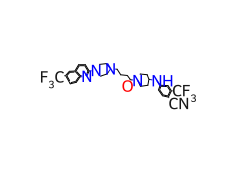 N#Cc1ccc(NC2CCN(C(=O)CCCN3CCN(c4ccc5cc(C(F)(F)F)ccc5n4)CC3)CC2)cc1C(F)(F)F